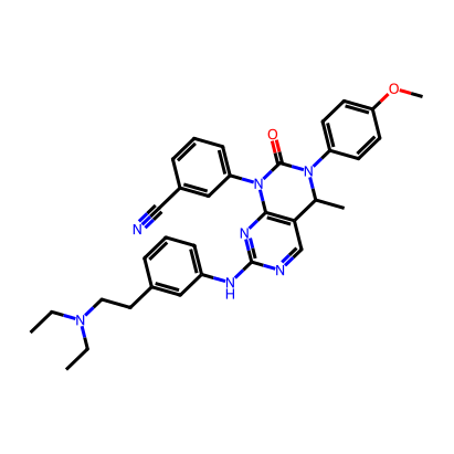 CCN(CC)CCc1cccc(Nc2ncc3c(n2)N(c2cccc(C#N)c2)C(=O)N(c2ccc(OC)cc2)C3C)c1